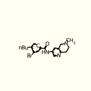 CCCCc1ccc(C(=O)Nc2cnc3c(c2)CN(C)CC3)cc1Br